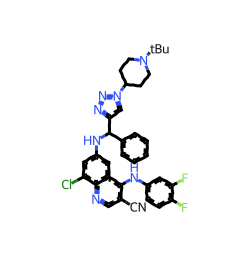 CC(C)(C)N1CCC(n2cc(C(Nc3cc(Cl)c4ncc(C#N)c(Nc5ccc(F)c(F)c5)c4c3)c3ccccc3)nn2)CC1